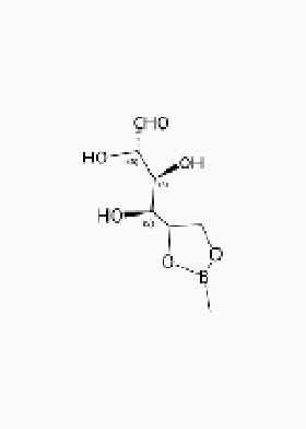 CB1OCC([C@@H](O)[C@H](O)[C@H](O)C=O)O1